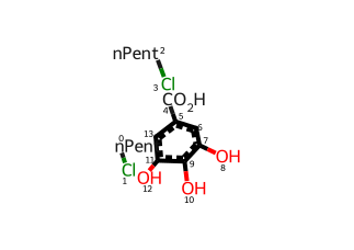 CCCCCCl.CCCCCCl.O=C(O)c1cc(O)c(O)c(O)c1